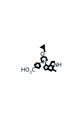 Cc1cc2c(c3cc[nH]c13)C(N1CC[C@H](OCC3CC3)C[C@H]1c1ccc(C(=O)O)cc1)CC2